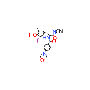 Cc1cc(CC(NC(=O)c2ccc(N3CCOCC3)cc2)C(=O)N(C)C#N)cc(I)c1O